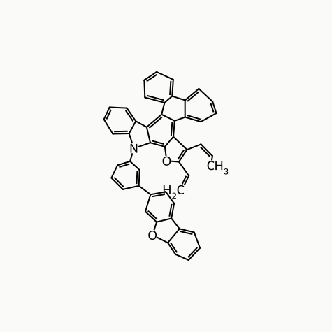 C=Cc1oc2c(c1/C=C\C)c1c3ccccc3c3ccccc3c1c1c3ccccc3n(-c3cccc(-c4ccc5c(c4)oc4ccccc45)c3)c21